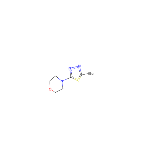 CC(C)(C)c1nnc(N2CCOCC2)s1